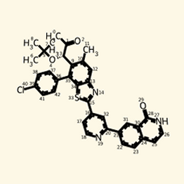 CC(=O)[C@@H](OC(C)(C)C)c1c(C)cc2nc(-c3ccnc(-c4ccc5cc[nH]c(=O)c5c4)c3)sc2c1-c1ccc(Cl)cc1